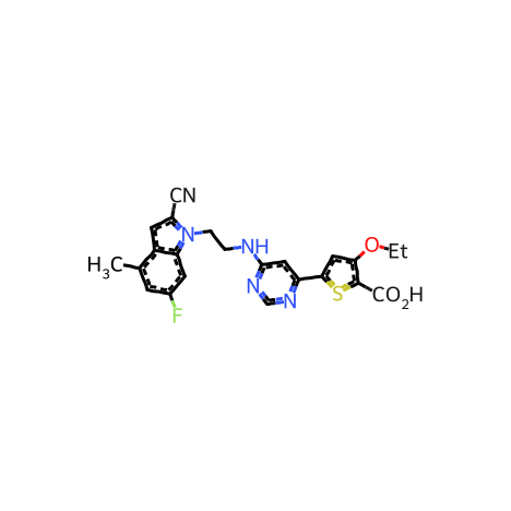 CCOc1cc(-c2cc(NCCn3c(C#N)cc4c(C)cc(F)cc43)ncn2)sc1C(=O)O